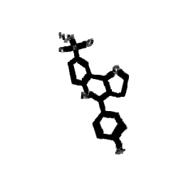 NS(=O)(=O)c1ccc2c(c1)C1OCCC1C(c1ccc(Br)cc1)N2